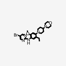 CCc1cc(Nc2ncc(Br)cn2)c(OC)cc1N1CCC(N2CCOCC2)CC1